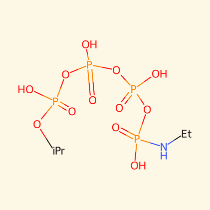 CCNP(=O)(O)OP(=O)(O)OP(=O)(O)OP(=O)(O)OC(C)C